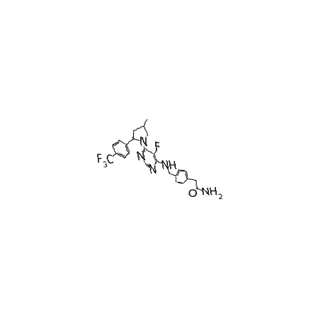 CC1CC(c2ccc(C(F)(F)F)cc2)N(c2ncnc(NCc3ccc(CC(N)=O)cc3)c2F)C1